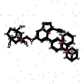 N#Cc1cnn2cc(OCCN3[C@@H]4CC[C@H]3CC(=O)C4)cc(-c3ccc(N4CC5CC(C4)N5Cc4cccnc4)nc3)c12